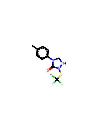 Cc1ccc(N2CNN(SC(F)(Cl)Cl)C2=O)cc1